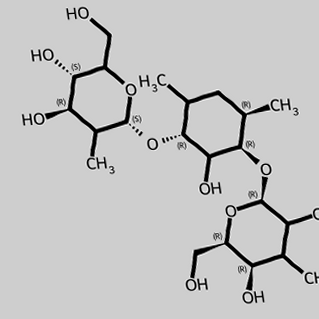 CC1C[C@@H](C)[C@@H](O[C@@H]2O[C@H](CO)[C@H](O)C(C)C2O)C(O)[C@@H]1O[C@H]1OC(CO)[C@@H](O)[C@H](O)C1C